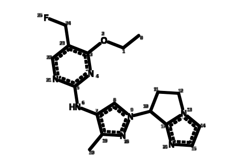 CCOc1nc(Nc2cn(C3CCn4ccnc43)nc2C)ncc1CF